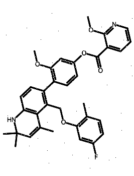 COc1cc(OC(=O)c2cccnc2OC)ccc1-c1ccc2c(c1COc1cc(F)ccc1C)C(C)=CC(C)(C)N2